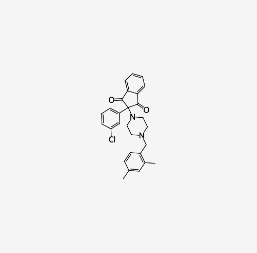 Cc1ccc(CN2CCN(C3(c4cccc(Cl)c4)C(=O)c4ccccc4C3=O)CC2)c(C)c1